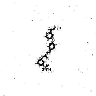 CNC(=O)c1cc(Oc2ccc(CNC(=O)Cc3cccc(S(C)(=O)=O)c3)cc2)ccn1